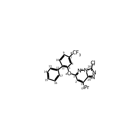 CC(C)c1cc(Oc2cc(C(F)(F)F)ccc2-c2ccccc2)nn2c(Cl)nnc12